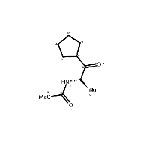 CC[C@H](C)[C@H](NC(=O)OC)C(=O)C1CCCC1